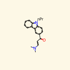 CCCn1c2ccccc2c2cc(C(=O)/C=C/N(C)C)ccc21